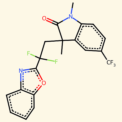 CN1C(=O)C(C)(CC(F)(F)c2nc3ccccc3o2)c2cc(C(F)(F)F)ccc21